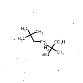 CCC(C)(C)C.CCCCC(C)(C)C(=O)O